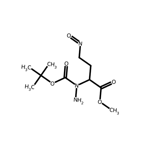 COC(=O)C(CCN=O)N(N)C(=O)OC(C)(C)C